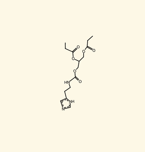 CCC(=O)OCC(COC(=O)NCCc1cnc[nH]1)OC(=O)CC